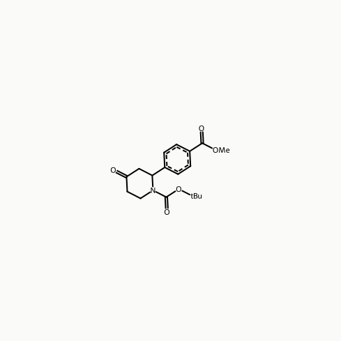 COC(=O)c1ccc(C2CC(=O)CCN2C(=O)OC(C)(C)C)cc1